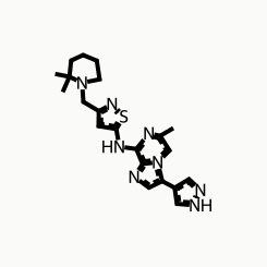 Cc1cn2c(-c3cn[nH]c3)cnc2c(Nc2cc(CN3CCCCC3(C)C)ns2)n1